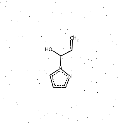 C=CC(O)n1cccn1